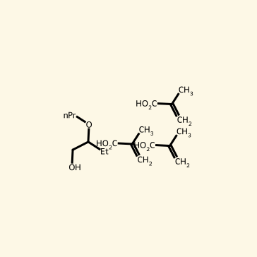 C=C(C)C(=O)O.C=C(C)C(=O)O.C=C(C)C(=O)O.CCCOC(CC)CO